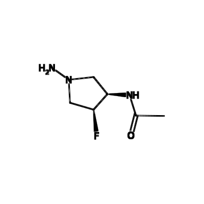 CC(=O)N[C@@H]1CN(N)C[C@@H]1F